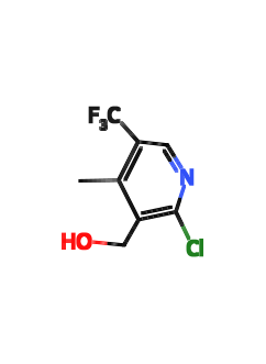 Cc1c(C(F)(F)F)cnc(Cl)c1CO